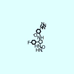 CNC(=O)NC1CCC(NCc2cc(-n3cnnn3)ccc2OC)C1c1ccc(F)cc1